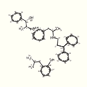 CC(Cc1ccccc1)NCCC(c1ccccc1)c1ccccc1.CCCc1ccccc1CC(C)N.CN[C@@H](C)[C@@H](O)c1ccccc1